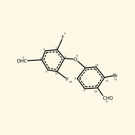 O=Cc1cc(F)c(Oc2ccc(C=O)c(Br)c2)c(F)c1